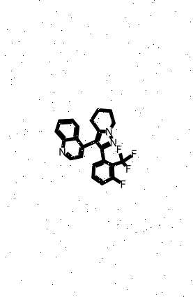 Fc1cccc(-c2nn3c(c2-c2ccnc4ccccc24)CCCC3)c1C(F)(F)F